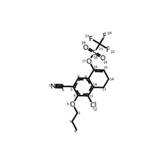 CCCOc1c(C#N)cc2c(c1Cl)CCC=C2OS(=O)(=O)C(F)(F)F